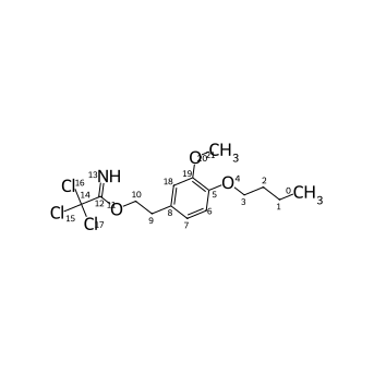 CCCCOc1ccc(CCOC(=N)C(Cl)(Cl)Cl)cc1OC